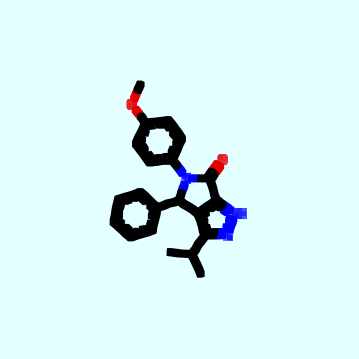 COc1ccc(N2C(=O)c3[nH]nc(C(C)C)c3C2c2ccccc2)cc1